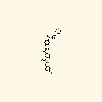 O=C(NCCN1CCOCC1)c1ccc(CNC(=O)c2cc(C(=O)NCc3ccc4c(c3)CCO4)ncn2)cc1